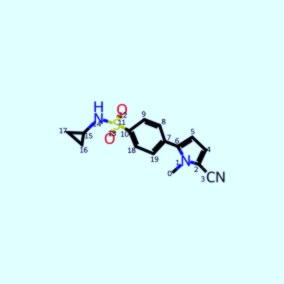 Cn1c(C#N)ccc1-c1ccc(S(=O)(=O)NC2CC2)cc1